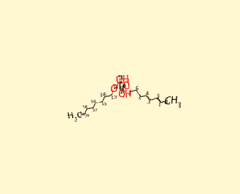 CCCCCCCC[O][Ti]([OH])([OH])[O]CCCCCCCC